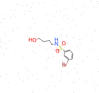 O=S(=O)(NCCCCO)c1cccc(Br)c1